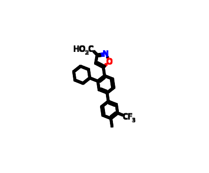 Cc1ccc(-c2ccc(-c3cc(C(=O)O)no3)c(C3CCCCC3)c2)cc1C(F)(F)F